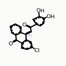 O=C(/C=C1\c2ccccc2C(=O)c2ccc(Cl)cc21)c1ccc(O)c(O)c1